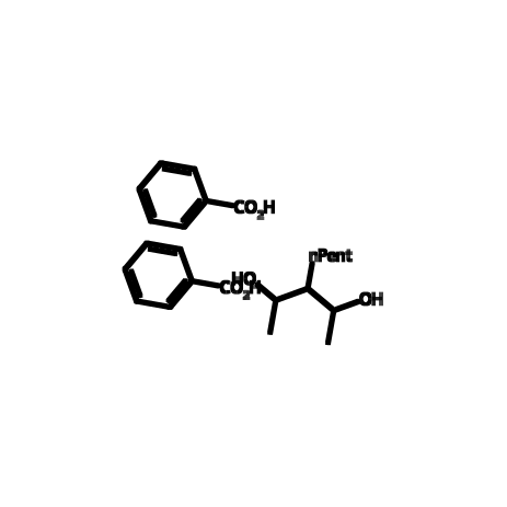 CCCCCC(C(C)O)C(C)O.O=C(O)c1ccccc1.O=C(O)c1ccccc1